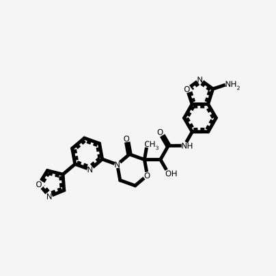 CC1(C(O)C(=O)Nc2ccc3c(N)noc3c2)OCCN(c2cccc(-c3cnoc3)n2)C1=O